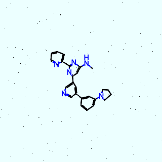 CNc1cc(-c2cncc(-c3cccc(N4CCCC4)c3)c2)nc(-c2ccccn2)n1